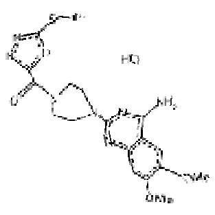 COc1cc2nc(N3CCN(C(=O)c4nnc(SC(C)C)o4)CC3)nc(N)c2cc1OC.Cl